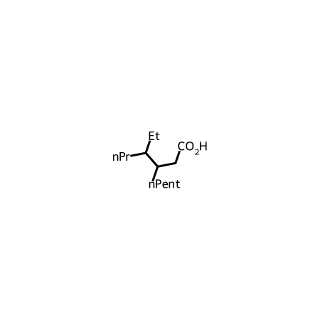 CCCCCC(CC(=O)O)C(CC)CCC